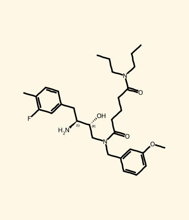 CCCN(CCC)C(=O)CCCC(=O)N(Cc1cccc(OC)c1)C[C@@H](O)[C@@H](N)Cc1ccc(C)c(F)c1